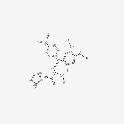 COc1cc2c(cc1OC)C(c1ccc([N+](=O)[O-])cc1)=NN(C(=O)O)[C@H](C)C2.c1c[nH]cn1